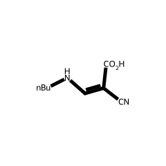 CCCCNC=C(C#N)C(=O)O